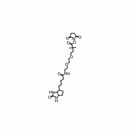 CC(C)(CCOCCOCCNC(=O)CCCCC1SCC2NC(=O)NC21)C(=O)ON1C(=O)CCC1=O